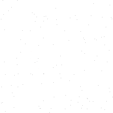 O=C(O)C(=O)CCCCSCc1ccccc1